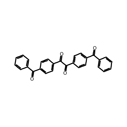 O=C(C(=O)c1ccc(C(=O)c2ccccc2)cc1)c1ccc(C(=O)c2ccccc2)cc1